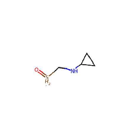 O=[SH2]CNC1CC1